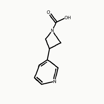 O=C(O)N1CC(c2cccnc2)C1